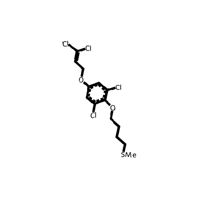 CSCCCCOc1c(Cl)cc(OCC=C(Cl)Cl)cc1Cl